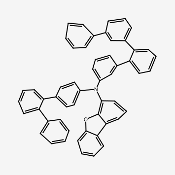 c1ccc(-c2cccc(-c3ccccc3-c3cccc(N(c4ccc(-c5ccccc5-c5ccccc5)cc4)c4cccc5c4oc4ccccc45)c3)c2)cc1